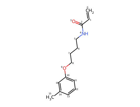 C=CC(=O)NCCCCOc1cccc(C)c1